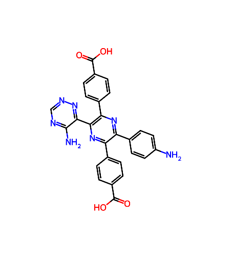 Nc1ccc(-c2nc(-c3ccc(C(=O)O)cc3)c(-c3nncnc3N)nc2-c2ccc(C(=O)O)cc2)cc1